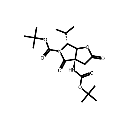 CC(C)[C@@H]1C2OC(=O)C[C@]2(NC(=O)OC(C)(C)C)C(=O)N1C(=O)OC(C)(C)C